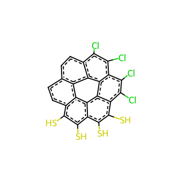 Sc1c(S)c2c(S)c(S)c3c(Cl)c(Cl)c4c(Cl)c(Cl)c5ccc6ccc1c1c6c5c4c3c21